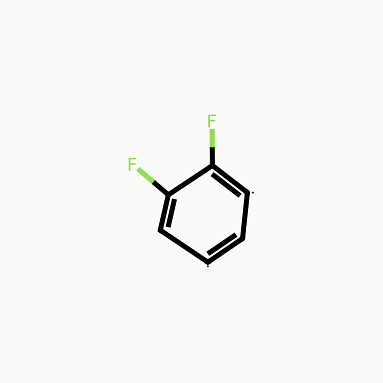 Fc1[c]c[c]cc1F